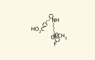 Cc1ccc(F)cc1S(=O)(=O)CCCCCCCNc1ccccc1CCc1ccc(C(=O)O)cc1